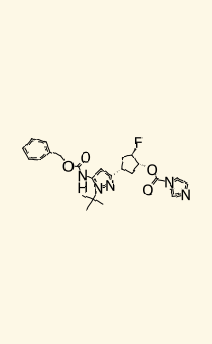 CC(C)(C)n1nc([C@@H]2C[C@@H](F)[C@H](OC(=O)n3ccnc3)C2)cc1NC(=O)OCc1ccccc1